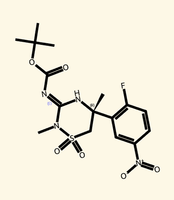 CN1/C(=N/C(=O)OC(C)(C)C)N[C@](C)(c2cc([N+](=O)[O-])ccc2F)CS1(=O)=O